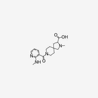 CNc1ncccc1C(=O)N1CCC2(CC1)CC(C(=O)O)N(C)C2